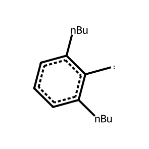 [CH]c1c(CCCC)cccc1CCCC